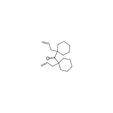 C=CCC1(C(=O)C2(CC=C)CCCCC2)CCCCC1